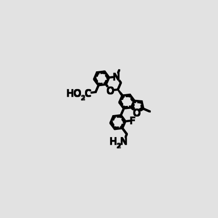 Cc1cc2cc([C@@H]3CN(C)c4cccc(CC(=O)O)c4O3)cc(-c3cccc(CN)c3F)c2o1